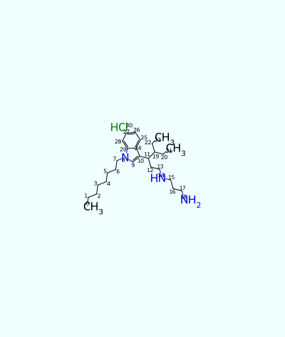 CCCCCCCCn1cc(C(CCNCCCN)C(CC)CC)c2ccccc21.Cl